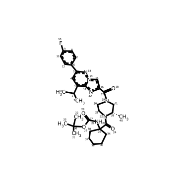 CC(C)c1cc(-c2ccc(F)cc2)nn2cc(C(=O)N3CCN(C(=O)C4(NC(=O)OC(C)(C)C)CCCCC4)[C@@H](C)C3)nc12